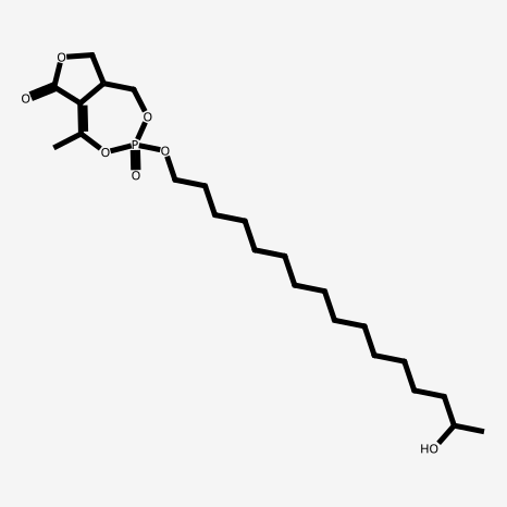 CC1=C2C(=O)OCC2COP(=O)(OCCCCCCCCCCCCCCC(C)O)O1